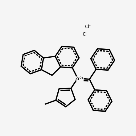 CC1=CC[C]([Zr+2](=[C](c2ccccc2)c2ccccc2)[c]2cccc3c2Cc2ccccc2-3)=C1.[Cl-].[Cl-]